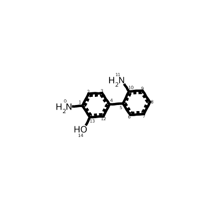 Nc1ccc(-c2ccccc2N)cc1O